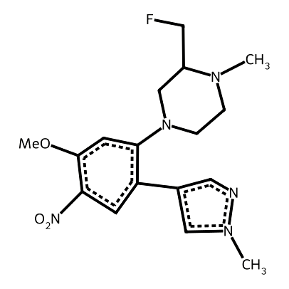 COc1cc(N2CCN(C)C(CF)C2)c(-c2cnn(C)c2)cc1[N+](=O)[O-]